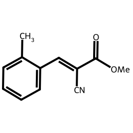 COC(=O)/C(C#N)=C/c1ccccc1C